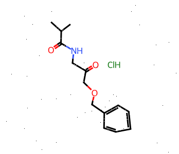 CC(C)C(=O)NCC(=O)COCc1ccccc1.Cl